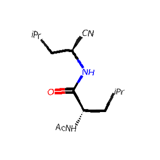 CC(=O)N[C@@H](CC(C)C)C(=O)N[C@H](C#N)CC(C)C